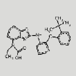 CCN(C(=O)O)c1cccc2oc(Nc3cccnc3Oc3ccccc3C(C)(C)C)nc12